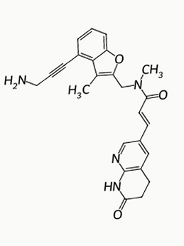 Cc1c(CN(C)C(=O)/C=C/c2cnc3c(c2)CCC(=O)N3)oc2cccc(C#CCN)c12